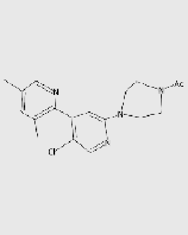 CC(=O)N1CCN(c2cc(-c3ncc(C)cc3C)c(Cl)cn2)CC1